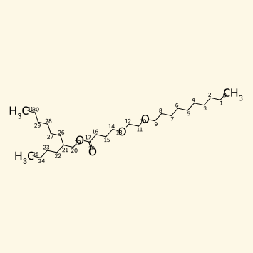 CCCCCCCCCCOCCOCCCC(=O)OCC(CCCC)CCCCCC